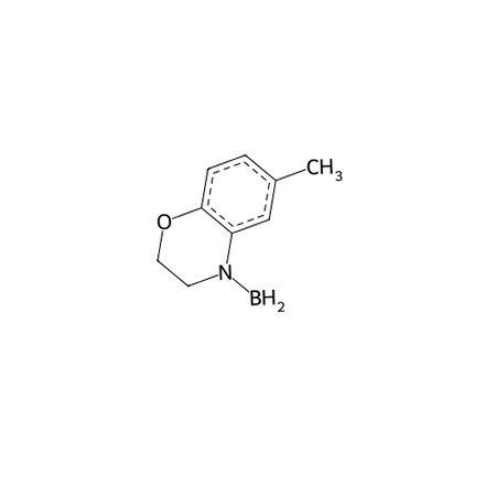 BN1CCOc2ccc(C)cc21